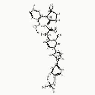 COCc1ccc(C)cc1N1C(=O)CS/C1=N\C(=O)Nc1ccc(-c2ncn(-c3ccc(OC(F)(F)F)cc3)n2)cc1F